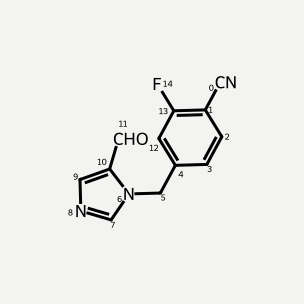 N#Cc1ccc(Cn2cncc2C=O)cc1F